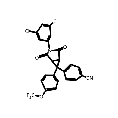 N#Cc1ccc(C2(c3ccc(OC(F)(F)F)cc3)C3C(=O)N(c4cc(Cl)cc(Cl)c4)C(=O)C32)cc1